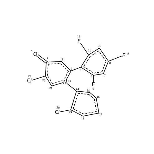 O=c1cc(-c2c(F)cc(F)cc2F)n(-c2ccccc2Cl)cc1Cl